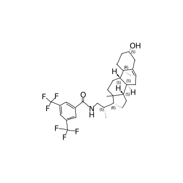 C[C@H](CNC(=O)c1cc(C(F)(F)F)cc(C(F)(F)F)c1)[C@H]1CC[C@H]2[C@@H]3CC=C4C[C@@H](O)CC[C@]4(C)[C@H]3CCC12C